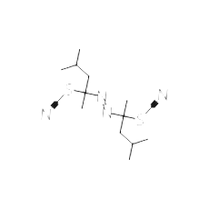 CC(C)CC(C)(/N=N/C(C)(CC(C)C)SC#N)SC#N